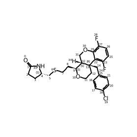 O=C1CC[C@@H](CSCC[C@@H]2OCC[C@@]3(Cc4ccc(Cl)cc4)c4c(F)ccc(F)c4OC[C@@H]23)N1